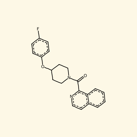 O=C(c1nccc2ccccc12)N1CCC(Oc2ccc(F)cc2)CC1